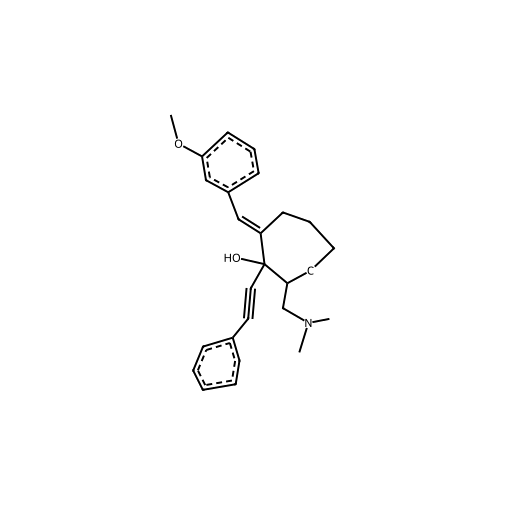 COc1cccc(/C=C2\CCCCC(CN(C)C)C2(O)C#Cc2ccccc2)c1